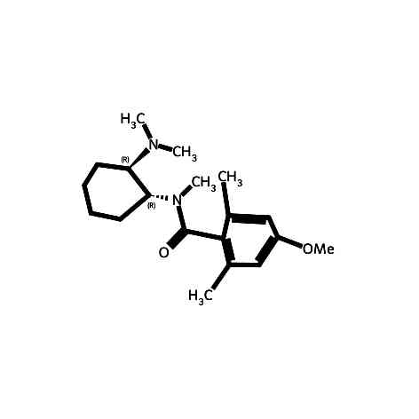 COc1cc(C)c(C(=O)N(C)[C@@H]2CCCC[C@H]2N(C)C)c(C)c1